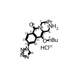 CCCCOc1c(CN)n(CC(C)C)c(=O)c2ccc(-n3cnnn3)cc12.Cl